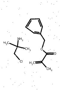 C=C(C)C(=O)OCc1ccccc1.CC(C)(N)CCl